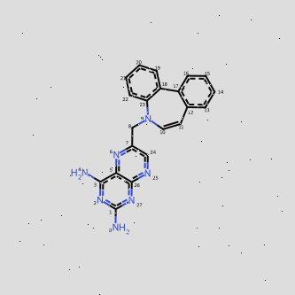 Nc1nc(N)c2nc(CN3C=Cc4ccccc4-c4ccccc43)cnc2n1